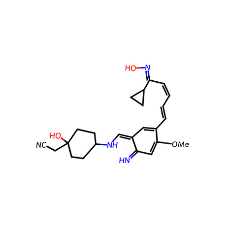 COC1=CC(=N)/C(=C\NC2CCC(O)(CC#N)CC2)C=C1/C=C/C=C\C(=N\O)C1CC1